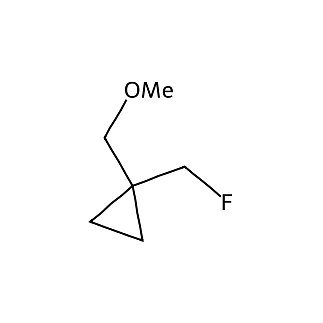 COCC1(CF)CC1